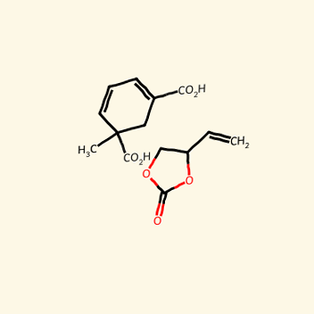 C=CC1COC(=O)O1.CC1(C(=O)O)C=CC=C(C(=O)O)C1